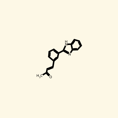 CC(=O)/C=C/c1cccc(-c2nc3ccccc3[nH]2)c1